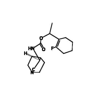 CC(OC(=O)N[C@@H]1CN2CCC1CC2)C1=C(F)CCCC1